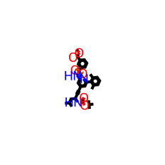 COC(=O)c1cccc(S(=O)(=O)Nc2cc(C#CC(CC(C)C)NC(=O)OC(C)(C)C)cc(-c3c(C)cccc3C)n2)c1